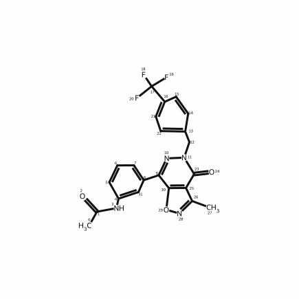 CC(=O)Nc1cccc(-c2nn(Cc3ccc(C(F)(F)F)cc3)c(=O)c3c(C)noc23)c1